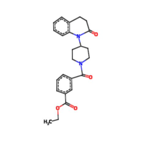 CCOC(=O)c1cccc(C(=O)N2CCC(N3C(=O)CCc4ccccc43)CC2)c1